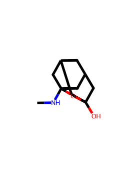 CNC12CC3CC(CC(O)(C3)O1)C2